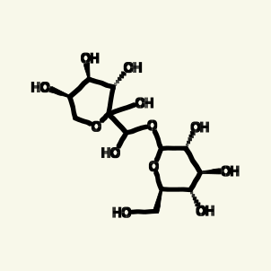 OC[C@H]1OC(OC(O)C2(O)OC[C@@H](O)[C@@H](O)[C@@H]2O)[C@H](O)[C@@H](O)[C@@H]1O